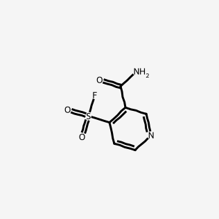 NC(=O)c1cnccc1S(=O)(=O)F